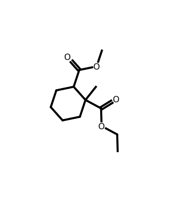 CCOC(=O)C1(C)CCCCC1C(=O)OC